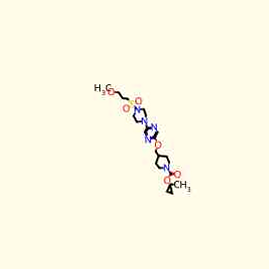 COCCCS(=O)(=O)N1CCN(c2cnc(OCC3CCN(C(=O)OC4(C)CC4)CC3)cn2)CC1